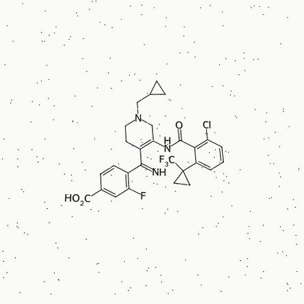 N=C(C1=C(NC(=O)c2c(Cl)cccc2C2(C(F)(F)F)CC2)CN(CC2CC2)CC1)c1ccc(C(=O)O)cc1F